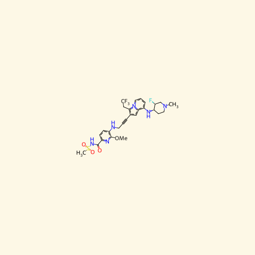 COc1nc(C(=O)NS(C)(=O)=O)ccc1NCC#Cc1cc2c(N[C@@H]3CCN(C)C[C@@H]3F)cccn2c1CC(F)(F)F